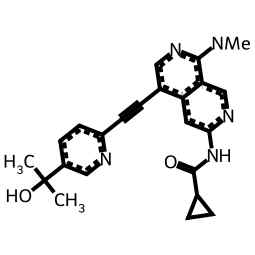 CNc1ncc(C#Cc2ccc(C(C)(C)O)cn2)c2cc(NC(=O)C3CC3)ncc12